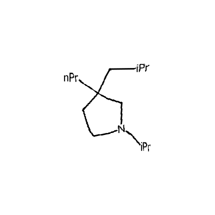 CCCC1(CC(C)C)CCN(C(C)C)C1